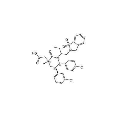 CCC(CN1Cc2ccccc2S1(=O)=O)N1C(=O)[C@@](C)(CC(=O)O)C[C@H](c2cccc(Cl)c2)[C@H]1c1ccc(Cl)cc1